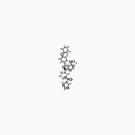 Nc1ncnc2c1c(-c1ccc(Oc3ccccc3)cc1)nn2C1CCCN(C(=O)c2cncnc2)C1